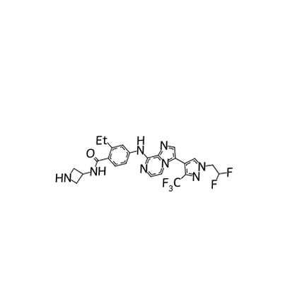 CCc1cc(Nc2nccn3c(-c4cn(CC(F)F)nc4C(F)(F)F)cnc23)ccc1C(=O)NC1CNC1